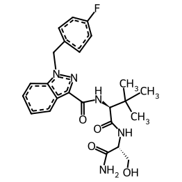 CC(C)(C)[C@H](NC(=O)c1nn(Cc2ccc(F)cc2)c2ccccc12)C(=O)N[C@H](CO)C(N)=O